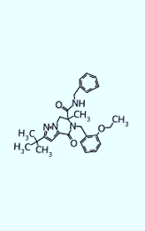 CCOc1ccccc1CN1C(=O)c2cc(C(C)(C)C)nn2CC1(C)C(=O)NCc1ccccc1